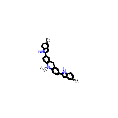 CCC1=Cc2cc(-c3ccc4c(c3)Cc3cc(-c5cc6cc(CC)ccc6[nH]5)ccc3N4C)[nH]c2CC1